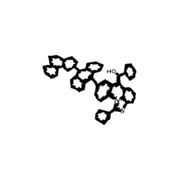 O/C(c1ccccc1)=c1\c2cc(-c3c4ccccc4c(-c4ccc5ccc6ccccc6c5c4)c4ccccc34)ccc2n2c(-c3ccccc3)nc3cccc1c32